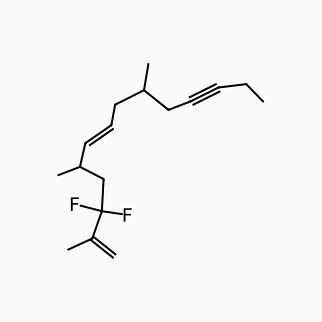 C=C(C)C(F)(F)CC(C)/C=C/CC(C)CC#CCC